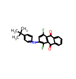 CC(C)(C)c1ccc(Nc2cc(F)c3c(c2F)C(=O)c2ccccc2C3=O)cc1